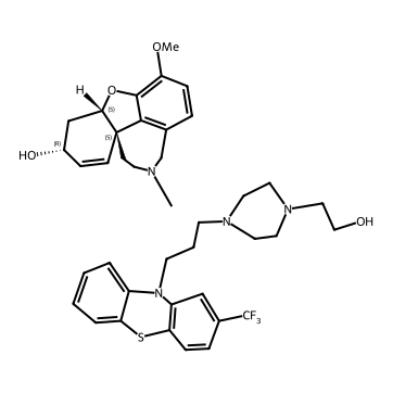 COc1ccc2c3c1O[C@H]1C[C@@H](O)C=C[C@@]31CCN(C)C2.OCCN1CCN(CCCN2c3ccccc3Sc3ccc(C(F)(F)F)cc32)CC1